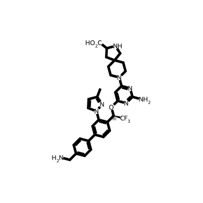 Cc1ccn(-c2cc(-c3ccc(CN)cc3)ccc2[C@@H](Oc2cc(N3CCC4(CC3)CNC(C(=O)O)C4)nc(N)n2)C(F)(F)F)n1